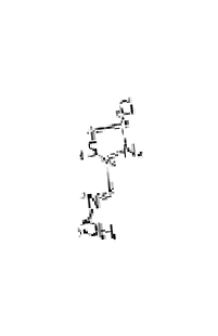 O/N=C/c1nc(Cl)cs1